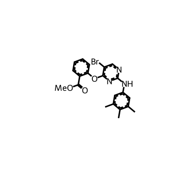 COC(=O)c1ccccc1Oc1nc(Nc2cc(C)c(C)c(C)c2)ncc1Br